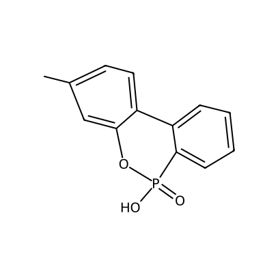 Cc1ccc2c(c1)OP(=O)(O)c1ccccc1-2